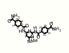 CNc1cc(NC(=O)c2ccc(C(N)=O)cc2)nc(NC(=O)c2ccc(C(N)=O)cc2)n1